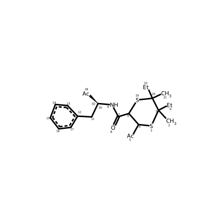 CCC1(C)SC(C(C)=O)C(C(=O)N[C@@H](Cc2ccccc2)C(C)=O)SC1(C)CC